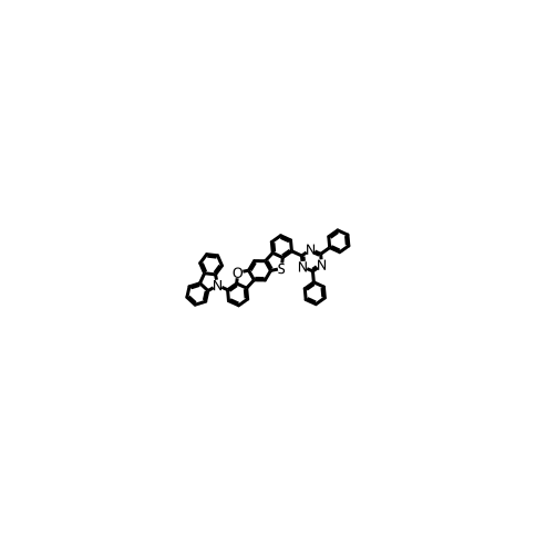 c1ccc(-c2nc(-c3ccccc3)nc(-c3cccc4c3sc3cc5c(cc34)oc3c(-n4c6ccccc6c6ccccc64)cccc35)n2)cc1